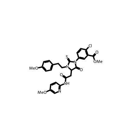 COC(=O)c1cc(N2C(=O)C(CC(=O)Nc3ccc(OC)cn3)N(CCc3ccc(OC)cc3)C2=S)ccc1Cl